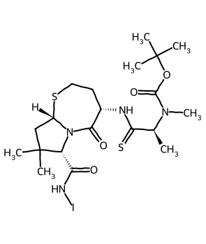 C[C@@H](C(=S)N[C@H]1CCS[C@H]2CC(C)(C)[C@@H](C(=O)NI)N2C1=O)N(C)C(=O)OC(C)(C)C